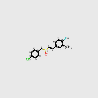 Cc1cc(C=C[S+]([O-])Cc2ccc(Cl)cc2)ccc1F